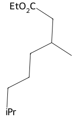 CCOC(=O)CC(C)CCCC(C)C